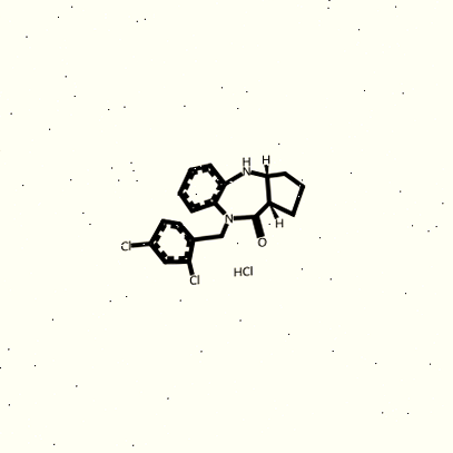 Cl.O=C1[C@H]2CCC[C@H]2Nc2ccccc2N1Cc1ccc(Cl)cc1Cl